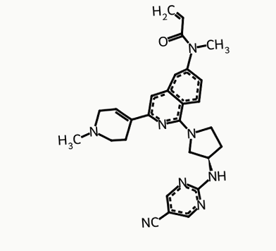 C=CC(=O)N(C)c1ccc2c(N3CC[C@@H](Nc4ncc(C#N)cn4)C3)nc(C3=CCN(C)CC3)cc2c1